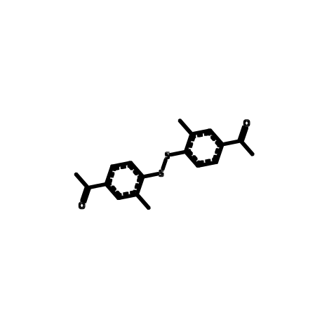 CC(=O)c1ccc(SSc2ccc(C(C)=O)cc2C)c(C)c1